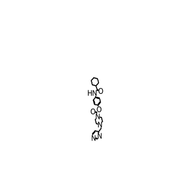 O=C(Nc1ccc(OC(=O)N2CCN(Cc3ccncn3)CC2)cc1)C1CCCCC1